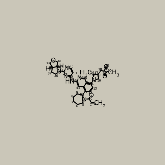 C=CC(=O)N1CCCCC[C@H]1c1ccc(N2C[C@H](CS(C)(=O)=O)[C@H]2C)c2cnc(Nc3ccnc(N4CC[C@@H]5COC[C@@H]54)n3)cc12